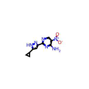 Nc1nc(-c2cc(C3CC3)[nH]n2)ncc1[N+](=O)[O-]